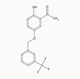 CC(=O)c1cc(OCc2cccc(C(F)(F)F)c2)ccc1O